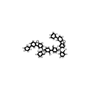 Cc1cc(N(c2ccc3oc4ccc(-c5ccccc5)cc4c3c2)c2ccccc2C)ccc1-c1ccc(N(c2ccc3oc4ccc(-c5ccccc5)cc4c3c2)c2ccccc2C)cc1C